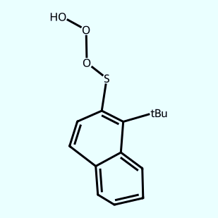 CC(C)(C)c1c(SOOO)ccc2ccccc12